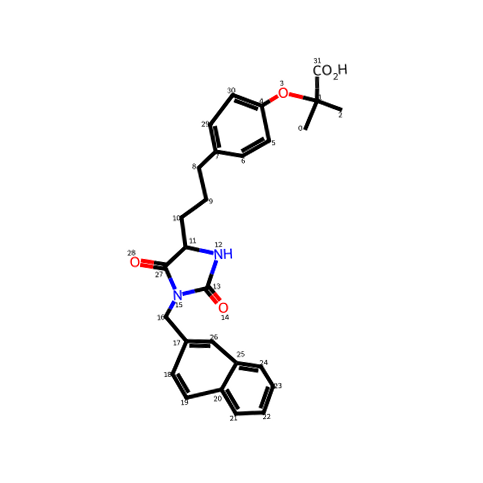 CC(C)(Oc1ccc(CCCC2NC(=O)N(Cc3ccc4ccccc4c3)C2=O)cc1)C(=O)O